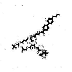 CCCCc1ccc(-c2ccc(C(=O)NCCC(=O)N[C@@H](CCCCNC(=O)OC(C)(C)C)C(=O)N[C@H](C(=O)N[C@@H](N)C(=O)N[C@H](C(=O)O)C(C)(C)C)[C@@H](C)OCC(C)C)cc2)cc1